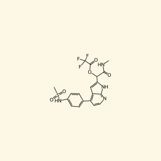 CNC(=O)C(OC(=O)C(F)(F)F)c1cc2c(-c3ccc(NS(C)(=O)=O)cc3)ccnc2[nH]1